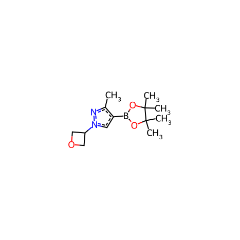 Cc1nn(C2COC2)cc1B1OC(C)(C)C(C)(C)O1